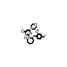 COc1cc(F)ccc1C[C@H]1CCCCCN1c1nc(N2CCOCC2)cc(=O)[nH]1